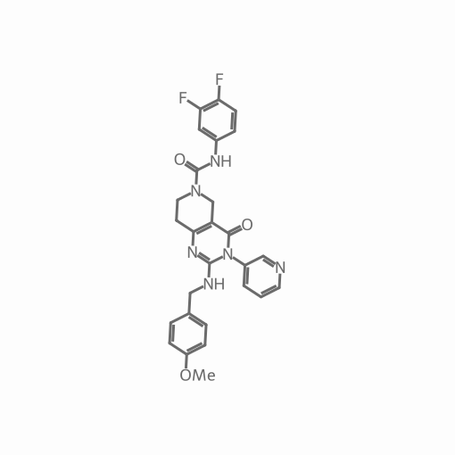 COc1ccc(CNc2nc3c(c(=O)n2-c2cccnc2)CN(C(=O)Nc2ccc(F)c(F)c2)CC3)cc1